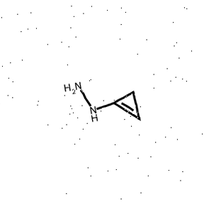 NNC1=CC1